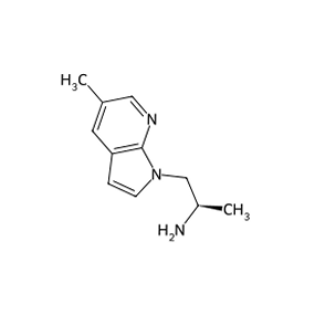 Cc1cnc2c(ccn2C[C@@H](C)N)c1